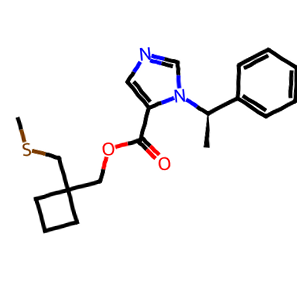 CSCC1(COC(=O)c2cncn2[C@H](C)c2ccccc2)CCC1